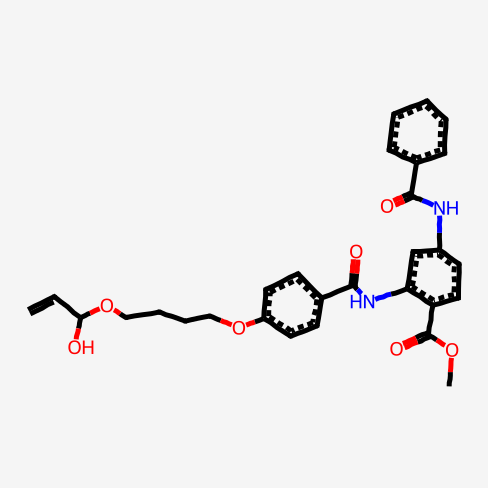 C=CC(O)OCCCCOc1ccc(C(=O)Nc2cc(NC(=O)c3ccccc3)ccc2C(=O)OC)cc1